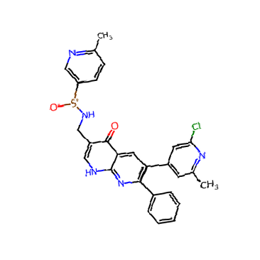 Cc1ccc([S+]([O-])NCc2c[nH]c3nc(-c4ccccc4)c(-c4cc(C)nc(Cl)c4)cc3c2=O)cn1